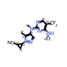 CCNc1nc(N(C)c2cnn(C3CC3C#N)c2C)ncc1C(F)(F)F